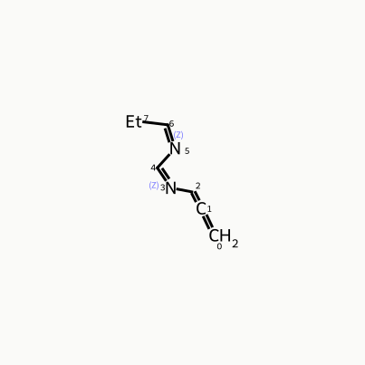 C=C=C/N=C\N=C/CC